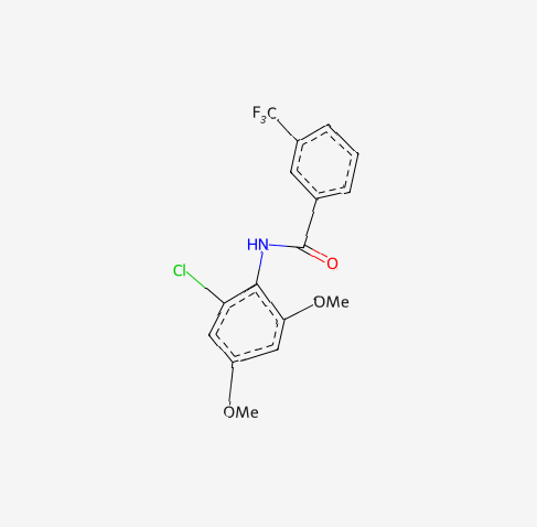 COc1cc(Cl)c(NC(=O)c2cccc(C(F)(F)F)c2)c(OC)c1